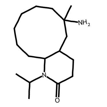 CC(C)N1C(=O)CCC2CC(C)(N)CCCCCCC21